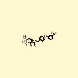 CC/C=C\C(C(=O)NCc1ccc(Oc2cccc(C(F)(F)F)c2)cc1)=C(/C)N